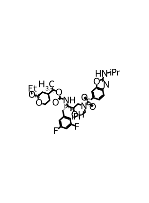 CCO[C@H]1CC([C@@H](C)OC(=O)N[C@@H](Cc2cc(F)cc(F)c2)[C@H](O)CN(CC(C)C)S(=O)(=O)c2ccc3nc(NC(C)C)oc3c2)CCO1